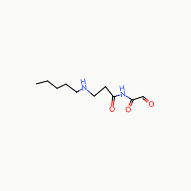 CCCCCNCCC(=O)NC(=O)C=O